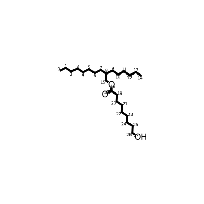 CCCCCCCCC(CCCCCC)COC(=O)CCCCCCCCO